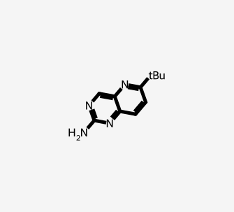 CC(C)(C)c1ccc2nc(N)ncc2n1